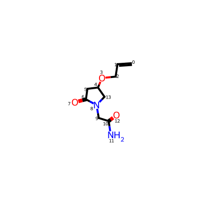 C=CCOC1CC(=O)N(CC(N)=O)C1